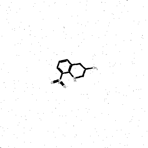 CC1CNc2c(cccc2[SH](=O)=O)C1